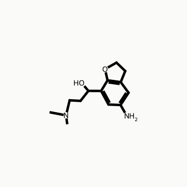 CN(C)CCC(O)c1cc(N)cc2c1OCC2